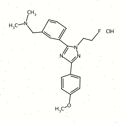 COc1ccc(-c2nc(-c3cccc(CN(C)C)c3)n(CCF)n2)cc1.Cl